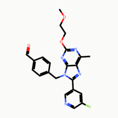 COCCOc1nc(C)c2nc(-c3cncc(F)c3)n(Cc3ccc(C=O)cc3)c2n1